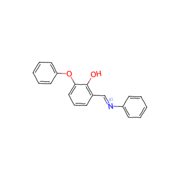 Oc1c(/C=N/c2ccccc2)cccc1Oc1ccccc1